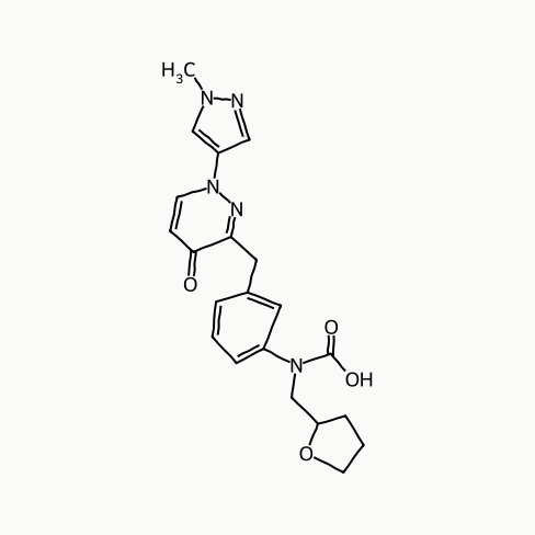 Cn1cc(-n2ccc(=O)c(Cc3cccc(N(CC4CCCO4)C(=O)O)c3)n2)cn1